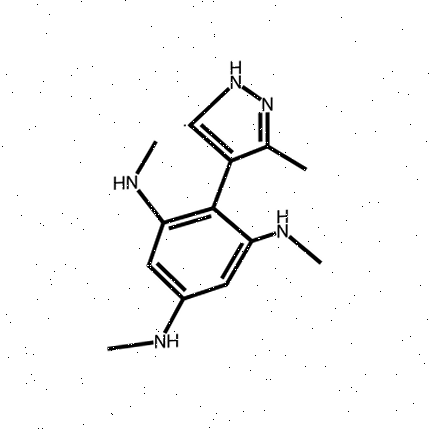 CNc1cc(NC)c(-c2[c][nH]nc2C)c(NC)c1